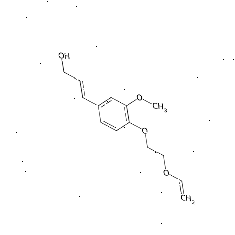 C=COCCOc1ccc(/C=C/CO)cc1OC